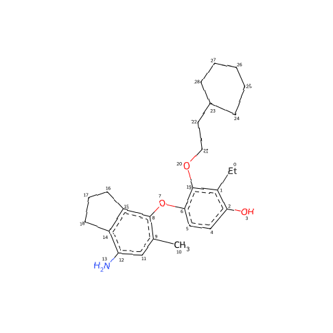 CCc1c(O)ccc(Oc2c(C)cc(N)c3c2CCC3)c1OCCC1CCCCC1